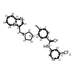 Cc1ccc(C(=O)Nc2cncc(C(F)(F)F)c2)cc1[C@@H]1CCN(Cc2cnc3ccccn23)C1